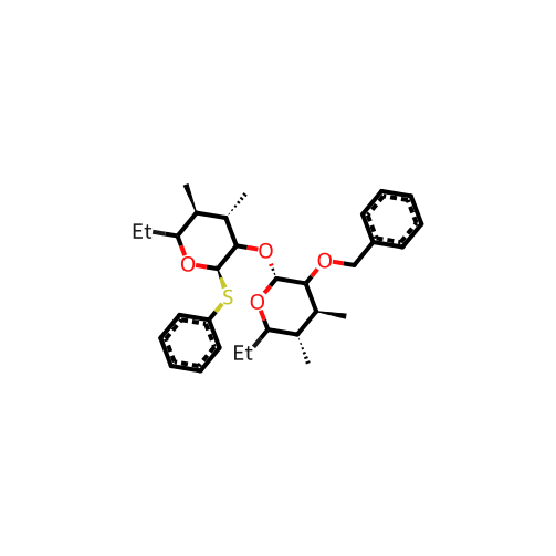 CCC1O[C@H](OC2[C@@H](Sc3ccccc3)OC(CC)[C@@H](C)[C@@H]2C)C(OCc2ccccc2)[C@@H](C)[C@@H]1C